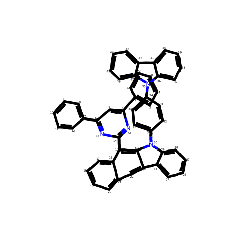 c1ccc(-c2cc(-c3ccccc3)nc(-c3c4ccccc4cc4c5ccccc5n(-c5ccc(-n6c7ccccc7c7ccccc76)cc5)c34)n2)cc1